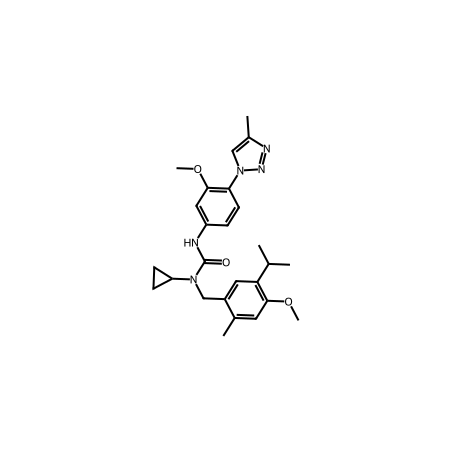 COc1cc(C)c(CN(C(=O)Nc2ccc(-n3cc(C)nn3)c(OC)c2)C2CC2)cc1C(C)C